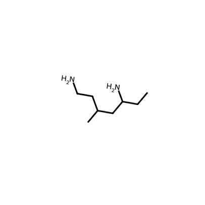 CCC(N)CC(C)CCN